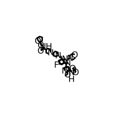 COc1ncc(-c2nc(N3CCOCC3)nc3c(CN4CCC(N5CCC(C(=O)NOC6CCCCO6)CC5)CC4)cc(F)cc23)cc1NS(C)(=O)=O